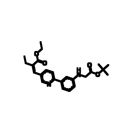 CCOC(=O)C(=Cc1ccc(-c2cccc(NCC(=O)OC(C)(C)C)c2)nc1)CC